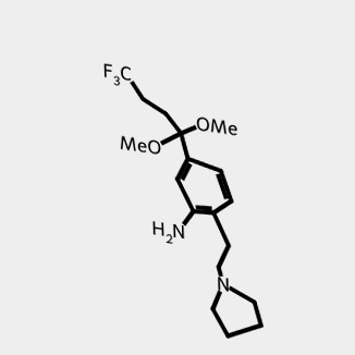 COC(CCC(F)(F)F)(OC)c1ccc(CCN2CCCC2)c(N)c1